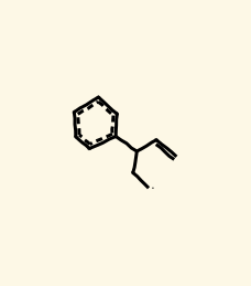 [CH2]CC(C=C)c1ccccc1